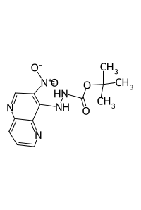 CC(C)(C)OC(=O)NNc1c([N+](=O)[O-])cnc2cccnc12